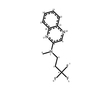 CN(CCC(F)(F)F)c1cnc2ccccc2n1